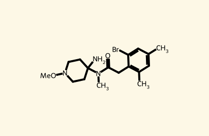 CON1CCC(N)(N(C)C(=O)Cc2c(C)cc(C)cc2Br)CC1